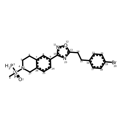 C[SH](=O)(P)N1CCc2cc(-c3noc(CCc4ccc(Br)cc4)n3)ccc2C1